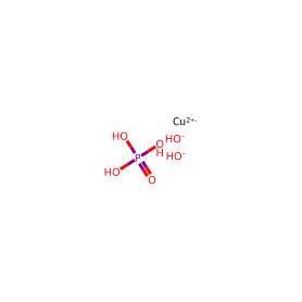 O=P(O)(O)O.[Cu+2].[OH-].[OH-]